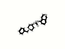 O=C(Nc1cccc2cnccc12)OC1CCN(Cc2ccccc2)CC1